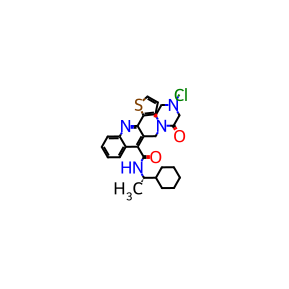 C[C@H](NC(=O)c1c(CN2CCN(Cl)CC2=O)c(-c2cccs2)nc2ccccc12)C1CCCCC1